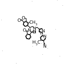 Cc1cc(-n2cc(CNCC(c3ccc4c(c3C)COC4=O)N3C(=O)c4ccccc4C3=O)cn2)ncc1C#N